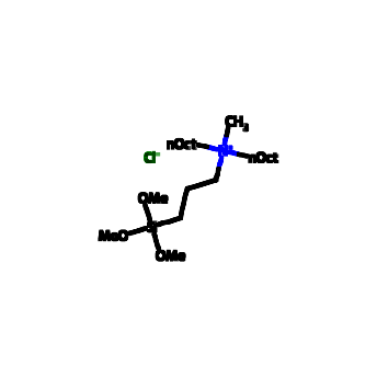 CCCCCCCC[N+](C)(CCCCCCCC)CCC[Si](OC)(OC)OC.[Cl-]